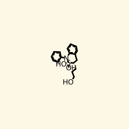 OCCC[C@H]1Cc2ccccc2N(c2ccccc2)S1(O)O